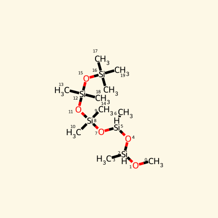 CO[SiH](C)O[SiH](C)O[Si](C)(C)O[Si](C)(C)O[Si](C)(C)C